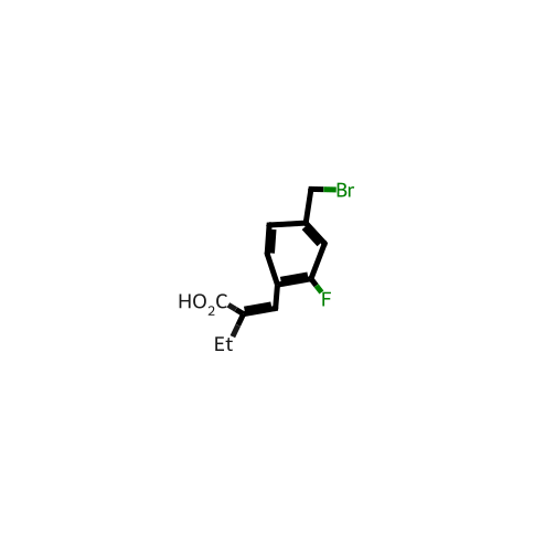 CCC(=Cc1ccc(CBr)cc1F)C(=O)O